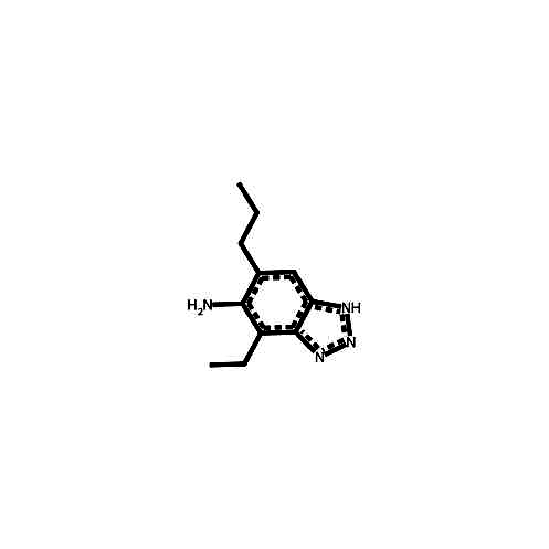 CCCc1cc2[nH]nnc2c(CC)c1N